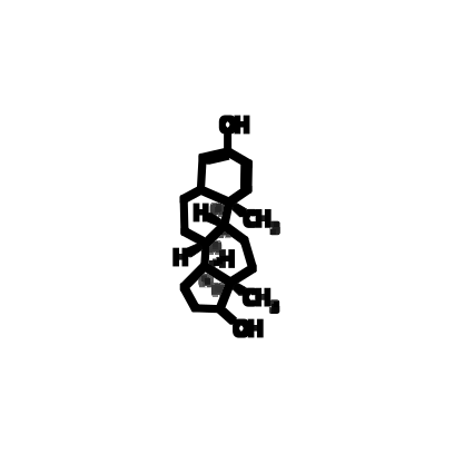 C[C@]12C=CC(O)=CC1CC[C@@H]1[C@H]2CC[C@]2(C)C(O)CC[C@@H]12